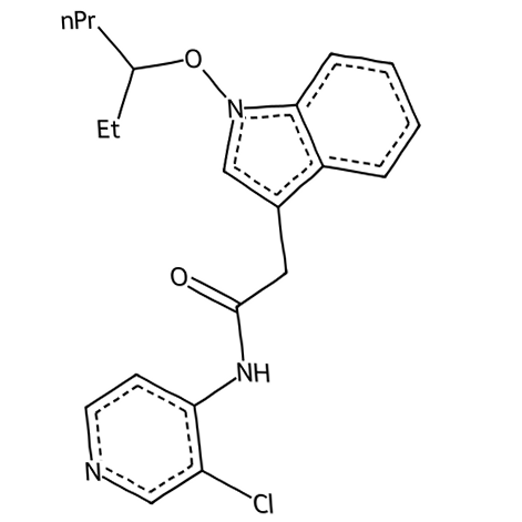 CCCC(CC)On1cc(CC(=O)Nc2ccncc2Cl)c2ccccc21